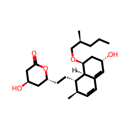 CCC[C@H](C)CO[C@H]1C[C@H](O)C=C2C=C[C@@H](C)[C@H](CC[C@@H]3C[C@@H](O)CC(=O)O3)[C@H]21